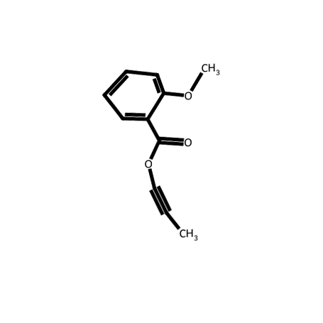 CC#COC(=O)c1ccccc1OC